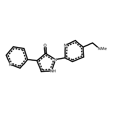 CNCc1ccc(-n2[nH]cc(-c3cccnc3)c2=O)nc1